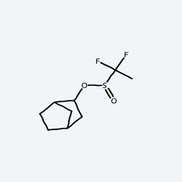 CC(F)(F)S(=O)OC1CC2CCC1C2